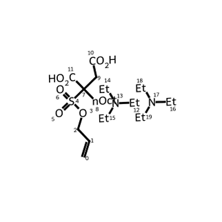 C=CCOS(=O)(=O)C(CCCCCCCC)(CC(=O)O)C(=O)O.CCN(CC)CC.CCN(CC)CC